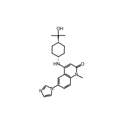 Cn1c(=O)cc(N[C@H]2CC[C@H](C(C)(C)O)CC2)c2cc(-n3ccnc3)ccc21